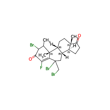 CC1C(Br)C(=O)C(F)=C2C(Br)(CBr)C[C@@H]3[C@@H](CC[C@]4(C)C(=O)CC[C@@H]34)[C@]21C